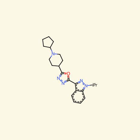 CC(C)n1nc(-c2nnc(C3CCN(C4CCCC4)CC3)o2)c2ccccc21